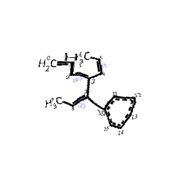 C=C/C=C(\C=C/C)C(=C\C)/c1ccccc1